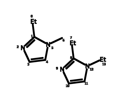 CCc1nccn1C.CCc1nccn1CC